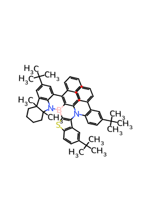 CC(C)(C)c1ccc(N2c3cc4ccccc4c4c3B(c3sc5ccc(C(C)(C)C)cc5c32)N2c3c-4cc(C(C)(C)C)cc3C3(C)CCCCC23C)c(-c2ccccc2)c1